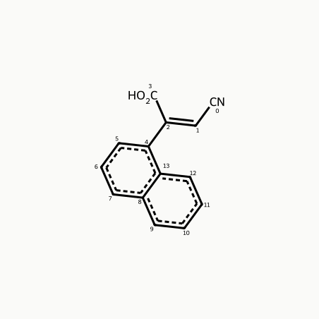 N#CC=C(C(=O)O)c1cccc2ccccc12